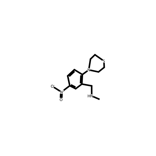 CNCc1cc([N+](=O)[O-])ccc1N1CCSCC1